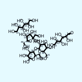 O=C[C@@H](O)[C@@H](O)[C@H](O)[C@H](O)CO.OC[C@@H](O)[C@@H](O)[C@H](O)[C@H](O)CO.OC[C@H]1O[C@@H](O[C@H]2[C@H](O)[C@@H](O)[C@H](O)O[C@@H]2CO)[C@H](O)[C@@H](O)[C@H]1O.OC[C@H]1O[C@](O)(CO)[C@@H](O)[C@@H]1O